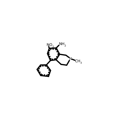 CN1CCc2c(-c3ccccc3)cc([N+](=O)[O-])c(N)c2C1